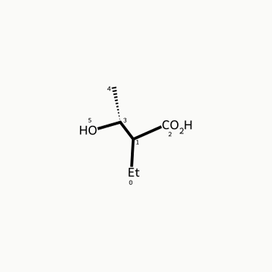 CCC(C(=O)O)[C@@H](C)O